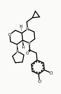 O=C(Cc1ccc(Cl)c(Cl)c1)N1CCN(CC2CC2)[C@@H]2COC[C@H](N3CCCC3)[C@H]21